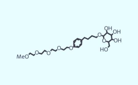 COCCOCCOCCOCCOc1ccc(CCCCOC2OC(CO)C(O)C(O)C2O)cc1